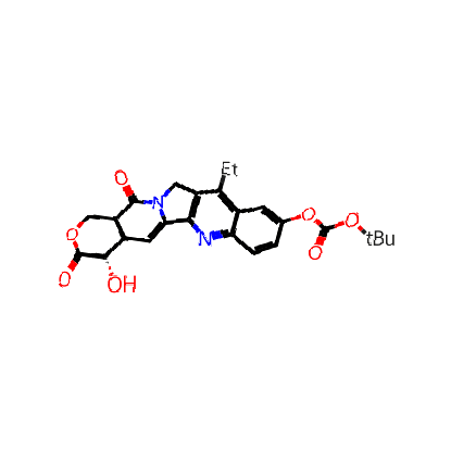 CCc1c2c(nc3ccc(OC(=O)OC(C)(C)C)cc13)C1=CC3C(COC(=O)[C@H]3O)C(=O)N1C2